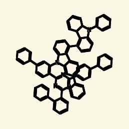 C1=CC2c3c(-c4cccc5c4c4ccc(-c6ccccc6)cc4n5-c4cc(-c5ccccc5)ccc4-c4nc(-c5ccc(-c6ccccc6)cc5)nc(-c5ccccc5-c5ccccc5)n4)cccc3N(c3ccccc3)C2C=C1